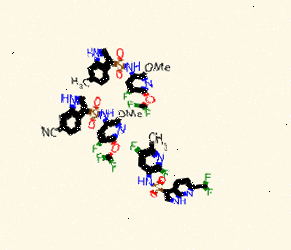 COc1nc(OC(F)F)c(F)cc1NS(=O)(=O)c1c[nH]c2cc(C#N)ccc12.COc1nc(OC(F)F)c(F)cc1NS(=O)(=O)c1c[nH]c2cc(C)ccc12.Cc1nc(F)c(NS(=O)(=O)c2c[nH]c3nc(C(F)F)ccc23)cc1F